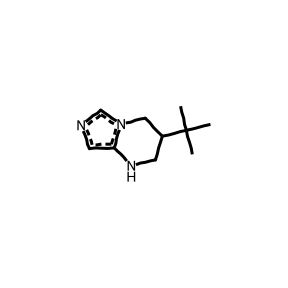 CC(C)(C)C1CNc2cncn2C1